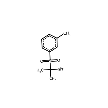 CCCC(C)(C)S(=O)(=O)c1cccc(C)c1